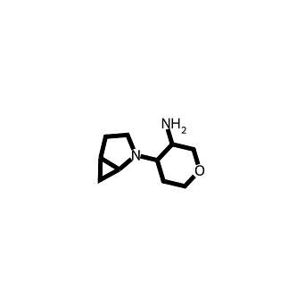 NC1COCCC1N1CCC2CC21